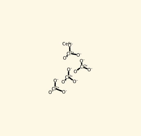 [Ce+4].[O-][Cl+2]([O-])[O-].[O-][Cl+2]([O-])[O-].[O-][Cl+2]([O-])[O-].[O-][Cl+2]([O-])[O-]